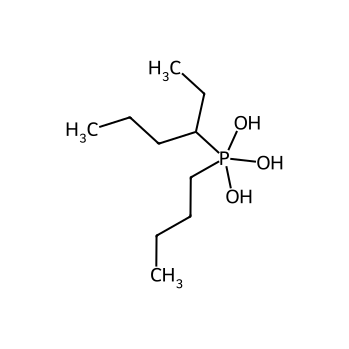 CCCCP(O)(O)(O)C(CC)CCC